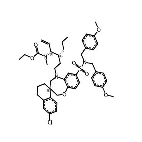 C=C[C@H]([C@H](CCC)CCN1C[C@@]2(CCCc3cc(Cl)ccc32)COc2ccc(S(=O)(=O)N(Cc3ccc(OC)cc3)Cc3ccc(OC)cc3)cc21)N(C)C(=O)OCC